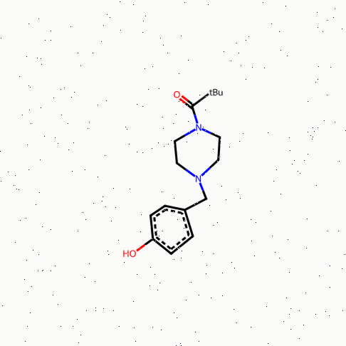 CC(C)(C)C(=O)N1CCN(Cc2ccc(O)cc2)CC1